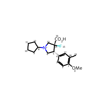 COc1ccc([C@@H]2CN(C3CCCC3)C[C@@]2(F)C(=O)O)cc1C